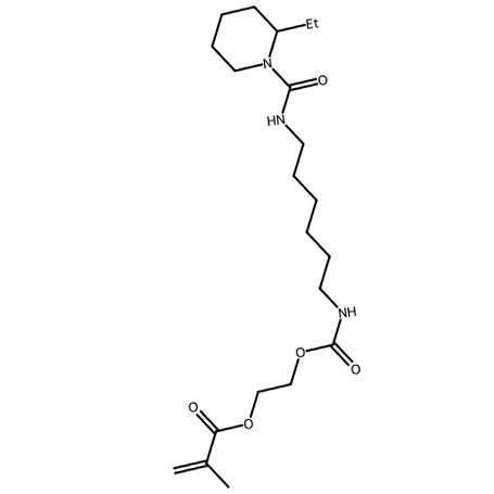 C=C(C)C(=O)OCCOC(=O)NCCCCCCNC(=O)N1CCCCC1CC